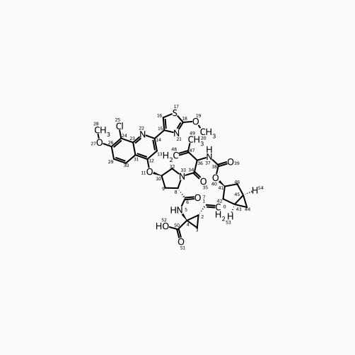 C=C[C@@H]1C[C@]1(NC(=O)[C@@H]1C[C@@H](Oc2cc(-c3csc(OC)n3)nc3c(Cl)c(OC)ccc23)CN1C(=O)C(NC(=O)O[C@@H]1C[C@@H]2C[C@@H]2C1)C(=C)C)C(=O)O